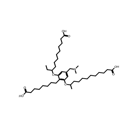 CCC(CCCCCCCCC(=O)O)Oc1cc(CN(C)C)cc(OC(C)CCCCCCCCCC(=O)O)c1CCCCCCCC(=O)O